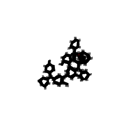 Cc1ccc(N(c2ccccc2)c2ccc(C)c(-c3cc(-c4cc(N(c5ccccc5)c5ccccc5)ccc4C)c4c(c3)c3ccccc3n4-c3ccccc3)c2)cc1